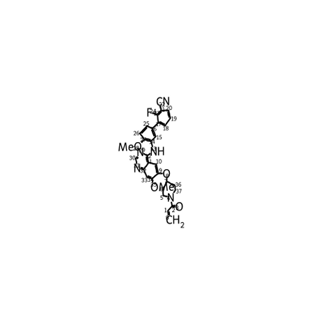 C=CC(=O)N1CCC(Oc2cc3c(Nc4cc(-c5cccc(C#N)c5F)ccc4OC)ncnc3cc2OC)CC1